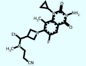 CCC(C1CN(c2c(F)cc3c(=O)n(N)c(=O)n(C4CC4)c3c2C)C1)N(C)CCC#N